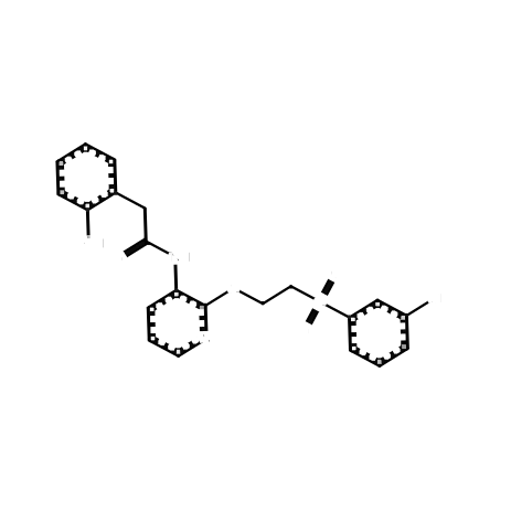 O=C(Cc1ccccc1O)Nc1cccnc1SCCS(=O)(=O)c1cccc(C(F)(F)F)c1